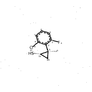 C[C@]1(c2c(F)cccc2Cl)C[C@@H]1S